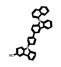 N#Cc1ccc2c(c1)c1ccccc1n2-c1ccc(-c2ccc3c(c2)c2ccccc2n3-c2cccc3ccccc23)cc1